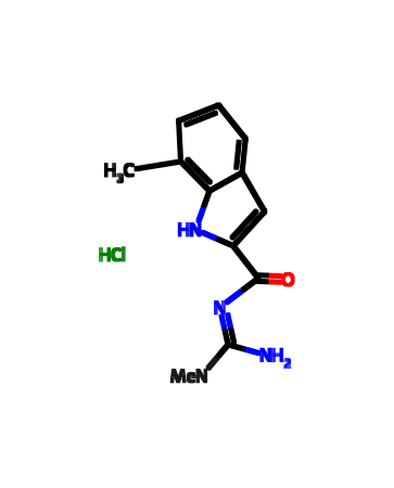 CNC(N)=NC(=O)c1cc2cccc(C)c2[nH]1.Cl